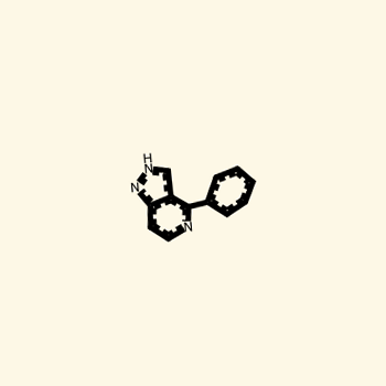 c1ccc(-c2nccc3n[nH]cc23)cc1